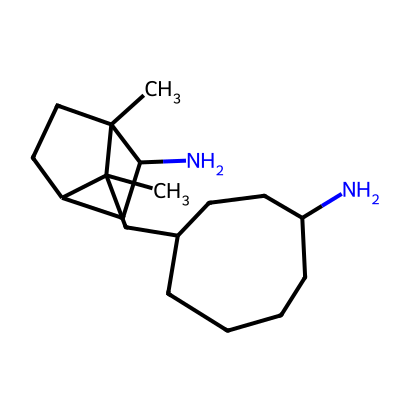 CC12CCC(CC1N)C2(C)CC1CCCCC(N)CC1